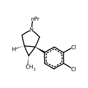 CCCN1C[C@@H]2[C@@H](C)[C@@]2(c2ccc(Cl)c(Cl)c2)C1